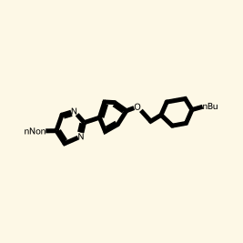 CCCCCCCCCc1cnc(-c2ccc(OCC3CCC(CCCC)CC3)cc2)nc1